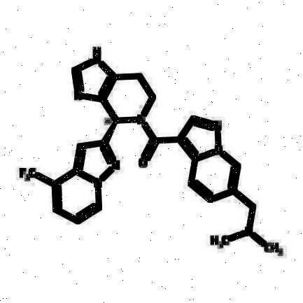 CN(C)Cc1ccc2c(C(=O)N3CCc4[nH]cnc4[C@@H]3c3cc4c(C(F)(F)F)cccn4n3)cnn2c1